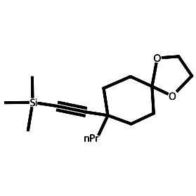 CCCC1(C#C[Si](C)(C)C)CCC2(CC1)OCCO2